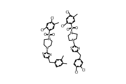 Cc1cc(S(=O)(=O)N2CCN(c3nc(Cc4ccc(Cl)c(Cl)c4)cs3)CC2)c(Cl)cc1Cl.Cc1ccc(Cc2csc(N3CCN(S(=O)(=O)c4cc(C)c(Cl)cc4Cl)CC3)n2)cc1C